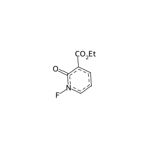 CCOC(=O)c1cccn(F)c1=O